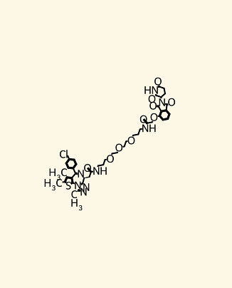 Cc1sc2c(c1C)C(c1ccc(Cl)cc1)=N[C@@H](CC(=O)NCCCOCCOCCOCCCNC(=O)COc1cccc3c1C(=O)N(C1CCC(=O)NC1=O)C3=O)c1nnc(C)n1-2